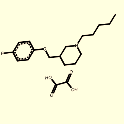 CCCCCN1CCCC(COc2ccc(F)cc2)C1.O=C(O)C(=O)O